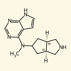 CN(c1ncnc2[nH]ccc12)C1C[C@H]2CNC[C@H]2C1